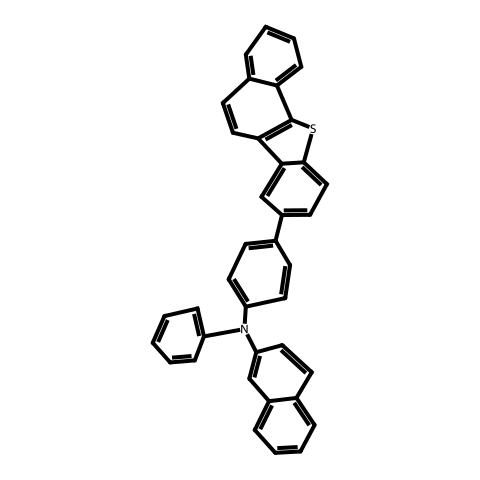 c1ccc(N(c2ccc(-c3ccc4sc5c6ccccc6ccc5c4c3)cc2)c2ccc3ccccc3c2)cc1